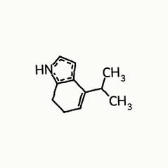 CC(C)C1=CCCc2[nH]ccc21